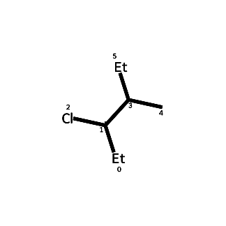 CC[C](Cl)C(C)CC